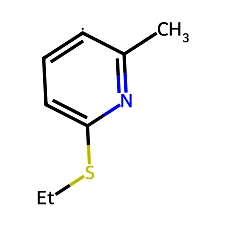 CCSc1cc[c]c(C)n1